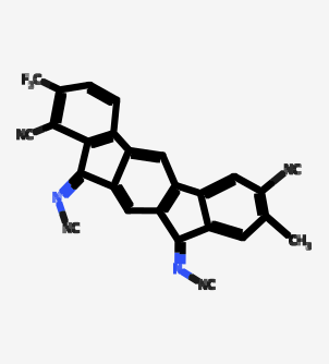 [C-]#[N+]/N=c1\c2cc(C)c([N+]#[C-])cc2c2cc3c(cc12)/c(=N\[N+]#[C-])c1c(C#N)c(C(F)(F)F)ccc13